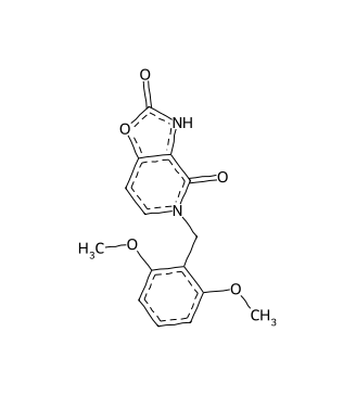 COc1cccc(OC)c1Cn1ccc2oc(=O)[nH]c2c1=O